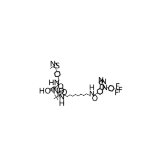 Cc1ncsc1-c1ccc(CNC(=O)[C@@H]2C[C@@H](O)CN2C(=O)[C@@H](NC(=O)CCCCCCCCCNC(=O)c2ccc3c(c2)c2cn(C)nc2n3-c2ccc(C(F)(F)F)cc2)C(C)(C)C)cc1